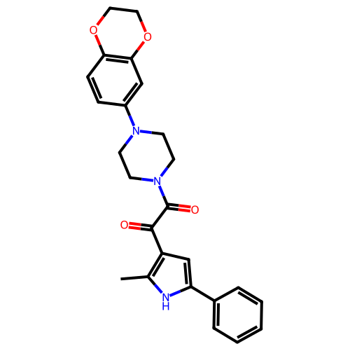 Cc1[nH]c(-c2ccccc2)cc1C(=O)C(=O)N1CCN(c2ccc3c(c2)OCCO3)CC1